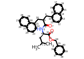 CC(C)C[C@@H](NC(=O)C(Cc1cccc2ccccc12)Cc1cccc2ccccc12)C(=O)OCc1ccccc1